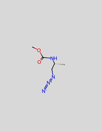 COC(=O)N[C@H](C)CN=[N+]=[N-]